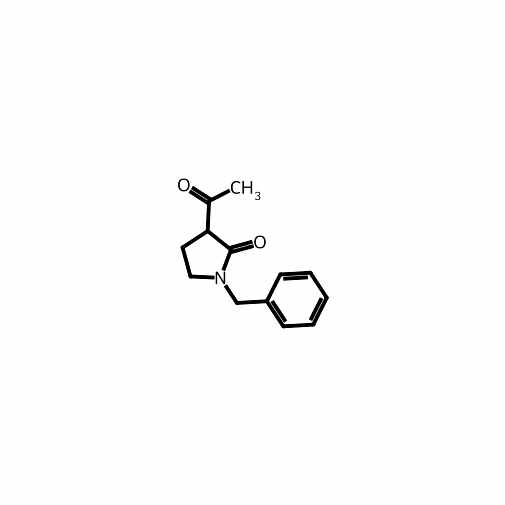 CC(=O)C1CCN(Cc2ccccc2)C1=O